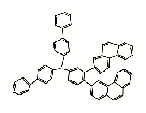 c1ccc(-c2ccc(N(c3ccc(-c4ccccc4)cc3)c3ccc(-c4ccc5ccc6ccccc6c5c4)c(-c4ccc5c(ccc6ccccc65)c4)c3)cc2)cc1